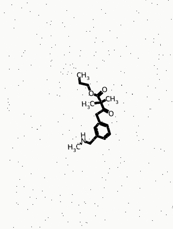 CCCOC(=O)C(C)(C)C(=O)Cc1cccc(CNC)c1